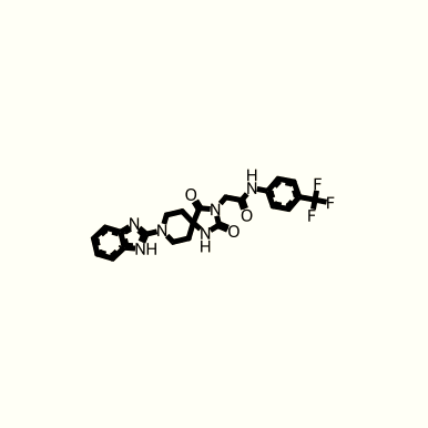 O=C(CN1C(=O)NC2(CCN(c3nc4ccccc4[nH]3)CC2)C1=O)Nc1ccc(C(F)(F)F)cc1